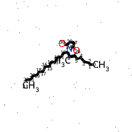 CCCCCCC=C(C)C(CCCCCCCCCCCCCC)N1C(=O)CCC1=O